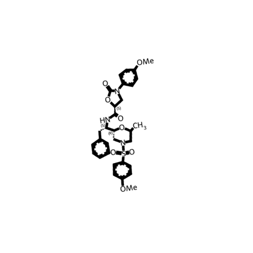 COc1ccc(N2C[C@@H](C(=O)N[C@@H](Cc3ccccc3)[C@H]3CN(S(=O)(=O)c4ccc(OC)cc4)CC(C)O3)OC2=O)cc1